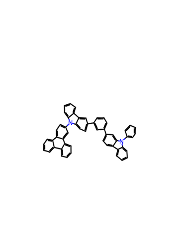 c1ccc(-n2c3ccccc3c3ccc(-c4cccc(-c5ccc6c(c5)c5ccccc5n6-c5ccc6c7ccccc7c7ccccc7c6c5)c4)cc32)cc1